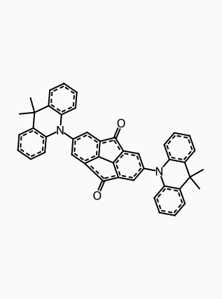 CC1(C)c2ccccc2N(c2cc3c4c(c2)c(=O)c2cc(N5c6ccccc6C(C)(C)c6ccccc65)cc(c2-4)c3=O)c2ccccc21